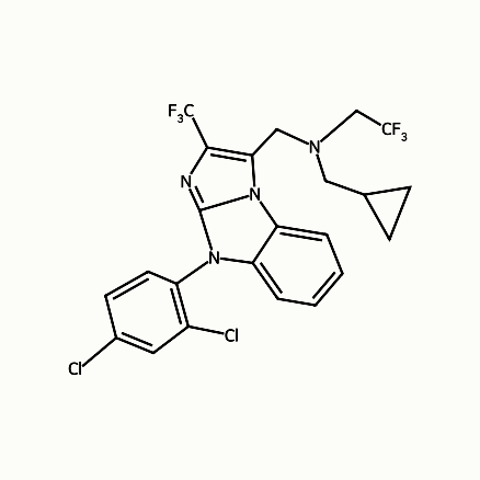 FC(F)(F)CN(Cc1c(C(F)(F)F)nc2n(-c3ccc(Cl)cc3Cl)c3ccccc3n12)CC1CC1